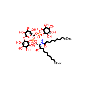 CCCCCCCCCCCCCCCCCC(=O)N[C@@H](COP(=O)(O)O[C@H]1C(O)C(O)C(O)[C@@H](O)C1O[C@H]1O[C@H](COP(=O)(O)OC2C(O)C(O)C(O)[C@@H](O)C2O)[C@@H](O)C(O)C1O)[C@H](O)CCCCCCCCCCCCCCCCC